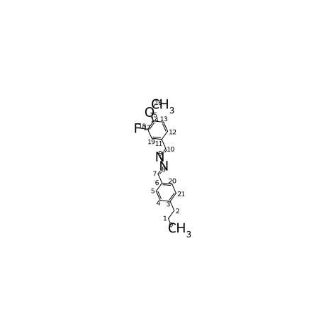 CCCc1ccc(C=NN=Cc2ccc(OC)c(F)c2)cc1